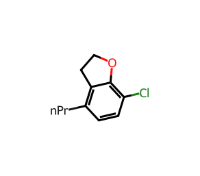 CCCc1ccc(Cl)c2c1CCO2